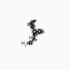 Nc1ccc(/C=C/C(=O)NCc2cc3cc(-c4ccc(C(=O)N5CC[C@H](F)C5)cc4)cc(-c4ccc(F)cc4)c3o2)cn1